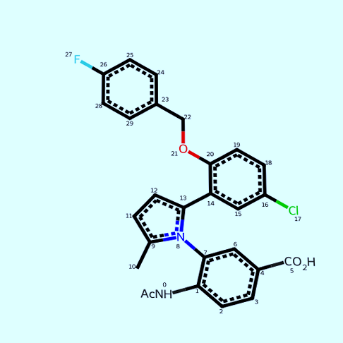 CC(=O)Nc1ccc(C(=O)O)cc1-n1c(C)ccc1-c1cc(Cl)ccc1OCc1ccc(F)cc1